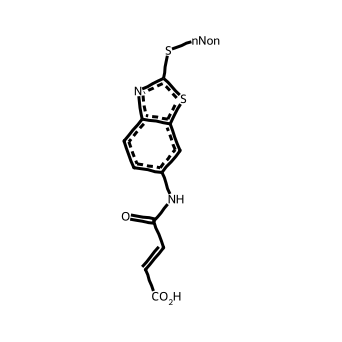 CCCCCCCCCSc1nc2ccc(NC(=O)/C=C/C(=O)O)cc2s1